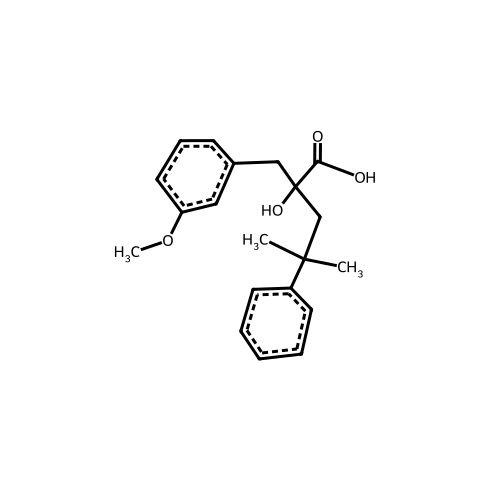 COc1cccc(CC(O)(CC(C)(C)c2ccccc2)C(=O)O)c1